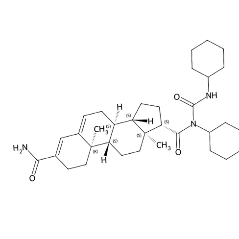 C[C@]12CC[C@H]3[C@@H](CC=C4C=C(C(N)=O)CC[C@@]43C)[C@@H]1CC[C@@H]2C(=O)N(C(=O)NC1CCCCC1)C1CCCCC1